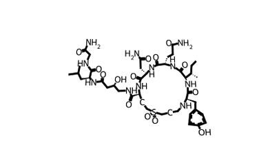 CC[C@H](C)[C@@H]1NC(=O)[C@@H](Cc2ccc(O)cc2)NCCCS(=O)(=O)CC[C@@H](C(=O)NC[C@H](O)CC(=O)N[C@@H](CC(C)C)C(=O)NCC(N)=O)NC(=O)[C@H](CC(N)=O)NC(=O)[C@H](CCC(N)=O)NC1=O